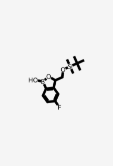 CC(C)(C)[Si](C)(C)OCC1OB(O)c2ccc(F)cc21